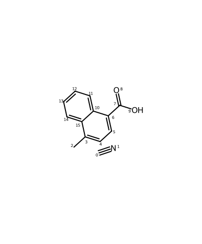 C#N.Cc1ccc(C(=O)O)c2ccccc12